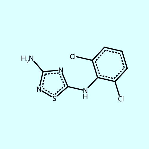 Nc1nsc(Nc2c(Cl)cccc2Cl)n1